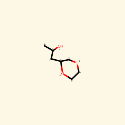 CC(O)CC1COCCO1